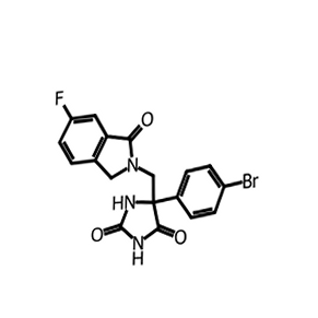 O=C1NC(=O)C(CN2Cc3ccc(F)cc3C2=O)(c2ccc(Br)cc2)N1